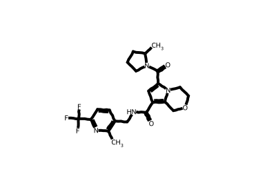 Cc1nc(C(F)(F)F)ccc1CNC(=O)c1cc(C(=O)N2CCCC2C)n2c1COCC2